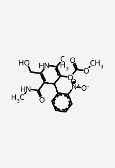 CNC(=O)C1=C(CO)NC(C)=C(OC(=O)OC)C1c1ccccc1[N+](=O)[O-]